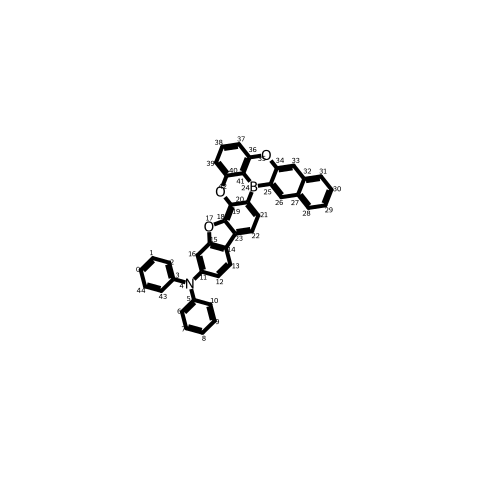 c1ccc(N(c2ccccc2)c2ccc3c(c2)oc2c4c(ccc23)B2c3cc5ccccc5cc3Oc3cccc(c32)O4)cc1